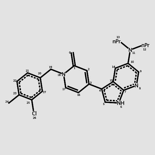 C=C1C=C(c2c[nH]c3ncc(N(CCC)CCC)cc23)C=CN1Cc1ccc(C)c(Cl)c1